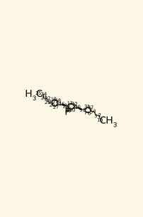 CCCCCc1ccc(C#Cc2ccc(C#Cc3ccc(CCCCC)cc3)c(F)c2)cc1